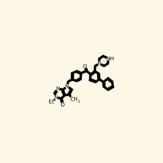 CCn1cnc2c(c(C)cn2Cc2ccc(C(=O)c3ccc(-c4ccccc4)cc3CN3CCNCC3)cc2)c1=O